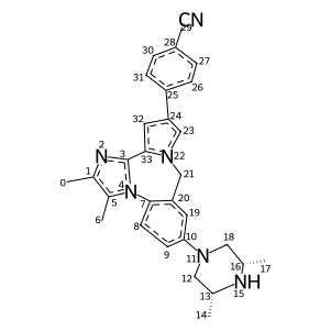 Cc1nc2n(c1C)-c1ccc(N3C[C@@H](C)N[C@@H](C)C3)cc1Cn1cc(-c3ccc(C#N)cc3)cc1-2